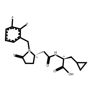 O=C(C[C@@H]1CCC(=S)N1Cc1cccc(F)c1F)N[C@@H](CC1CC1)C(=O)O